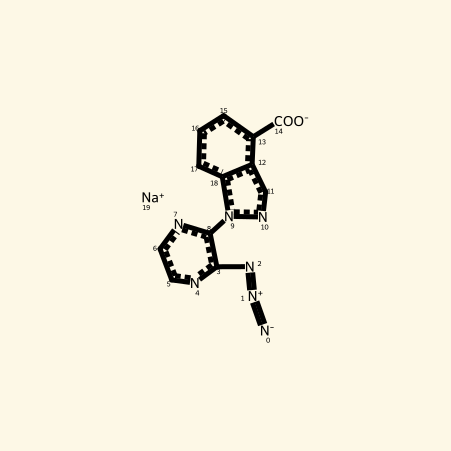 [N-]=[N+]=Nc1nccnc1-n1ncc2c(C(=O)[O-])cccc21.[Na+]